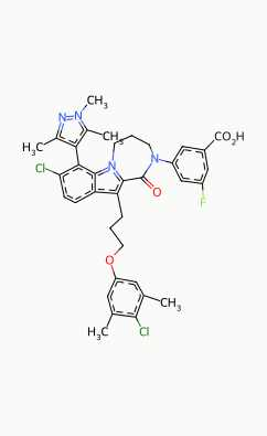 Cc1cc(OCCCc2c3n(c4c(-c5c(C)nn(C)c5C)c(Cl)ccc24)CCCN(c2cc(F)cc(C(=O)O)c2)C3=O)cc(C)c1Cl